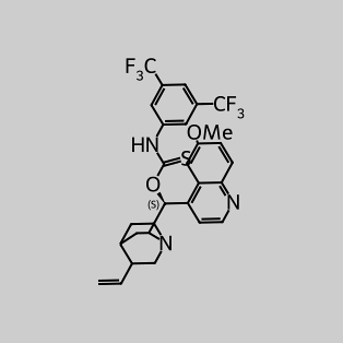 C=CC1CN2CCC1CC2[C@@H](OC(=S)Nc1cc(C(F)(F)F)cc(C(F)(F)F)c1)c1ccnc2ccc(OC)cc12